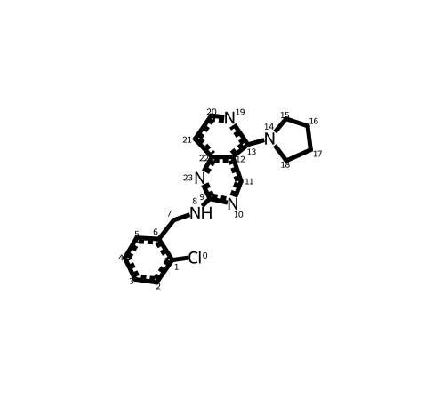 Clc1ccccc1CNc1ncc2c(N3CCCC3)nccc2n1